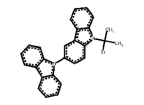 CCC(C)(C)n1c2ccccc2c2cc(-n3c4ccccc4c4ccccc43)ccc21